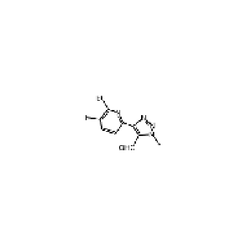 CCc1nc(-c2nnn(C)c2C=O)ccc1I